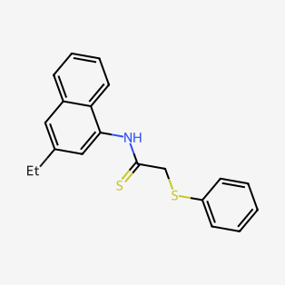 CCc1cc(NC(=S)CSc2ccccc2)c2ccccc2c1